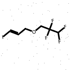 FC(F)C(F)(F)COC/C=C/I